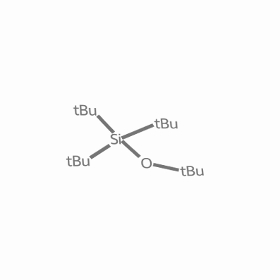 CC(C)(C)O[Si](C(C)(C)C)(C(C)(C)C)C(C)(C)C